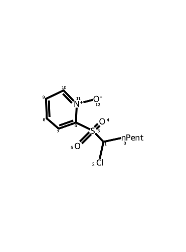 CCCCCC(Cl)S(=O)(=O)c1cccc[n+]1[O-]